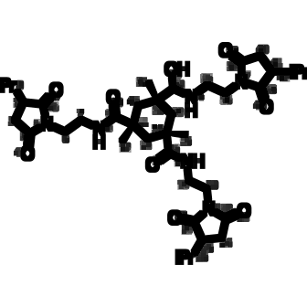 CC(C)C1CC(=O)N(CCNC(=O)[C@@]2(C)C[C@@](C)(C(=O)NCCN3C(=O)CC(C(C)C)C3=O)C[C@@](C)(C(O)NCCN3C(=O)CC(C(C)C)C3=O)C2)C1=O